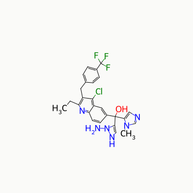 CCc1nc2ccc(C(O)(c3cncn3C)c3c[nH]n3N)cc2c(Cl)c1Cc1ccc(C(F)(F)F)cc1